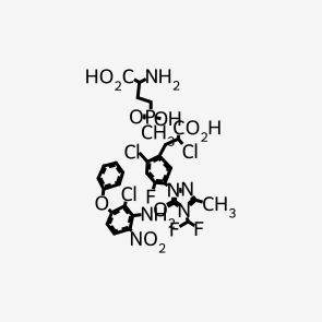 CP(=O)(O)CCC(N)C(=O)O.Cc1nn(-c2cc(CC(Cl)C(=O)O)c(Cl)cc2F)c(=O)n1C(F)F.Nc1c([N+](=O)[O-])ccc(Oc2ccccc2)c1Cl